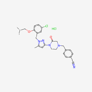 Cc1cc(N2CCN(Cc3ccc(C#N)cc3)CC2=O)nn1Cc1cc(Cl)ccc1OCC(C)C.Cl